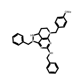 COc1ccc(CN2CCC3NN(Cc4ccccc4)c4nc(NCc5ccccc5)nc2c43)cc1